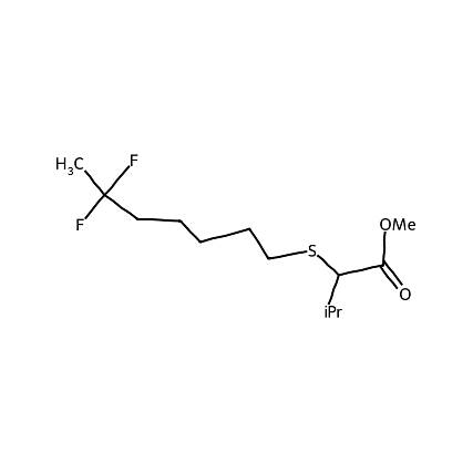 COC(=O)C(SCCCCCC(C)(F)F)C(C)C